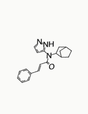 O=C(/C=C/c1ccccc1)N(c1ccn[nH]1)C1CC2CCC1C2